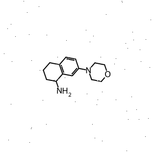 NC1CCCc2ccc(N3CCOCC3)cc21